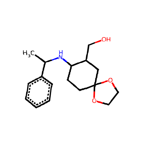 CC(NC1CCC2(CC1CO)OCCO2)c1ccccc1